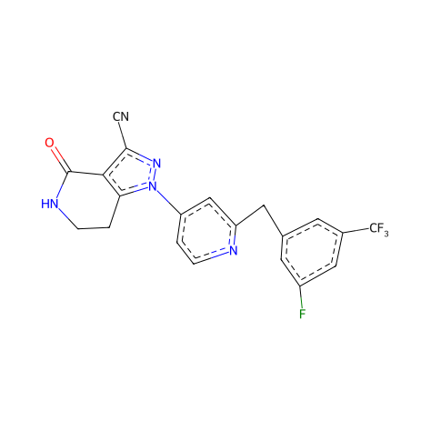 N#Cc1nn(-c2ccnc(Cc3cc(F)cc(C(F)(F)F)c3)c2)c2c1C(=O)NCC2